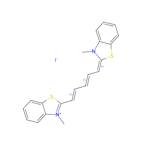 CN1\C(=C/C=C/C=C/c2sc3ccccc3[n+]2C)Sc2ccccc21.[I-]